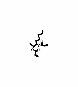 C=CC(=O)OC(C)C(CCCCC)OC(=O)C=C